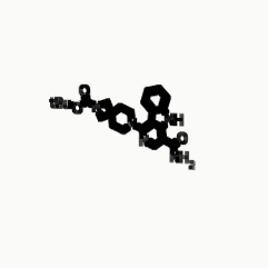 CC(C)(C)OC(=O)N1CC2(CCN(c3ncc(C(N)=O)c4[nH]c5ccccc5c34)CC2)C1